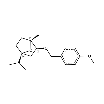 COc1ccc(CO[C@H]2C[C@]3(C(C)C)CC[C@@]2(C)O3)cc1